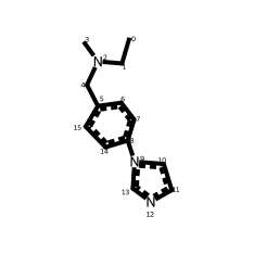 CCN(C)Cc1ccc(-n2ccnc2)cc1